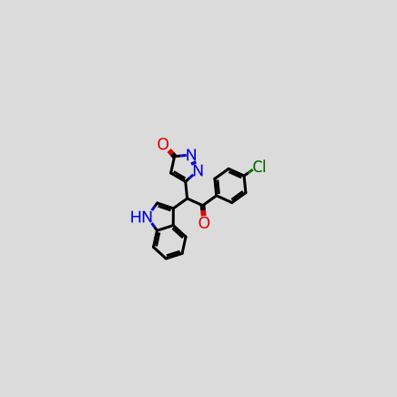 O=C1C=C(C(C(=O)c2ccc(Cl)cc2)c2c[nH]c3ccccc23)N=N1